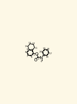 CN(C(=O)Oc1cccc2c1CCCC2)c1ccccc1